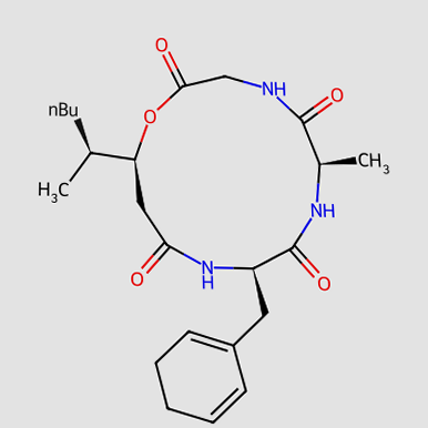 CCCC[C@H](C)[C@@H]1CC(=O)N[C@H](CC2=CCCC=C2)C(=O)N[C@H](C)C(=O)NCC(=O)O1